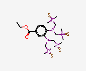 CCOC(=O)c1ccc(P(CP(C)(C)=S)CP(C)(C)=S)c(P(CP(C)(C)=S)CP(C)(C)=S)c1